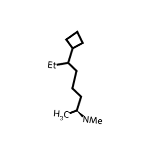 CCC(CCC[C@H](C)NC)C1CCC1